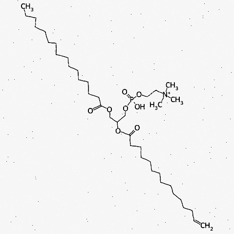 C=CCCCCCCCCCCCCC(=O)OC(COC(=O)CCCCCCCCCCCCCCC)COP(=O)(O)OCC[N+](C)(C)C